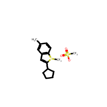 Cc1ccc2c(c1)cc(C1CCCC1)[s+]2C(F)(F)F.O=S(=O)([O-])C(F)(F)F